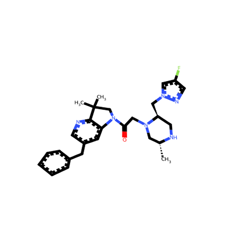 C[C@@H]1CN(CC(=O)N2CC(C)(C)c3ncc(Cc4ccccc4)cc32)[C@@H](Cn2cc(F)cn2)CN1